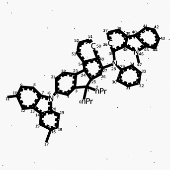 CCCC1(CCC)c2cc(-n3c4ccc(C)cc4c4cc(C)ccc43)ccc2-c2c1cc(N(c1ccccc1)c1cccc3c4ccccc4n(C)c13)c1ccccc21